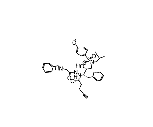 C#CCCC(=O)N(NC(=O)CNCc1ccccc1)[C@@H](Cc1ccccc1)[C@H](O)CN(CC(C)C)S(=O)(=O)c1ccc(OC)cc1